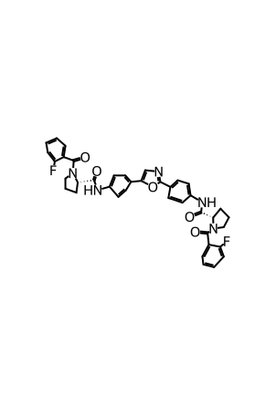 O=C(Nc1ccc(-c2cnc(-c3ccc(NC(=O)[C@@H]4CCCN4C(=O)c4ccccc4F)cc3)o2)cc1)[C@@H]1CCCN1C(=O)c1ccccc1F